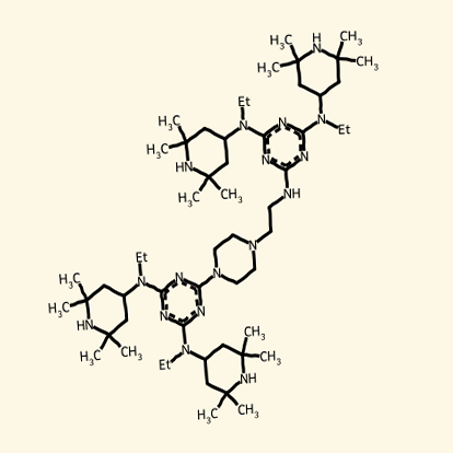 CCN(c1nc(NCCN2CCN(c3nc(N(CC)C4CC(C)(C)NC(C)(C)C4)nc(N(CC)C4CC(C)(C)NC(C)(C)C4)n3)CC2)nc(N(CC)C2CC(C)(C)NC(C)(C)C2)n1)C1CC(C)(C)NC(C)(C)C1